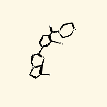 O=C(c1ccc(-c2ccn3ncc(I)c3n2)cc1C(F)(F)F)N1CCOCC1